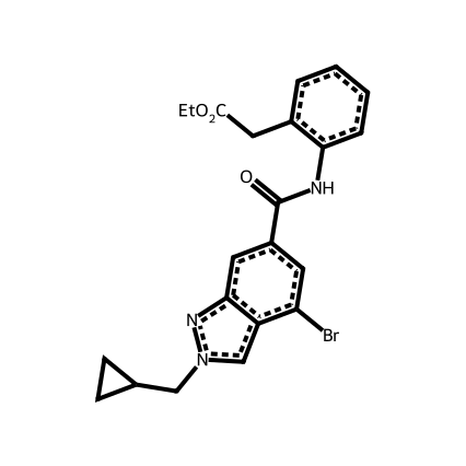 CCOC(=O)Cc1ccccc1NC(=O)c1cc(Br)c2cn(CC3CC3)nc2c1